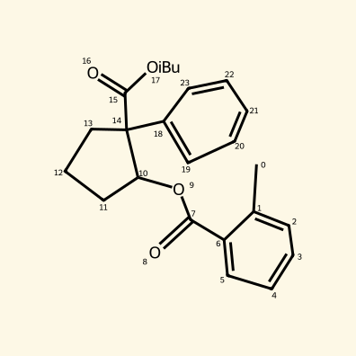 Cc1ccccc1C(=O)OC1CCCC1(C(=O)OCC(C)C)c1ccccc1